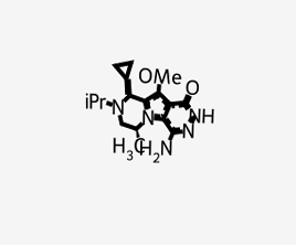 COc1c2n(c3c(N)n[nH]c(=O)c13)[C@@H](C)CN(C(C)C)C2=C1CC1